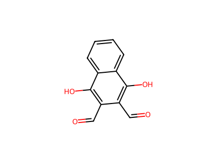 O=Cc1c(C=O)c(O)c2ccccc2c1O